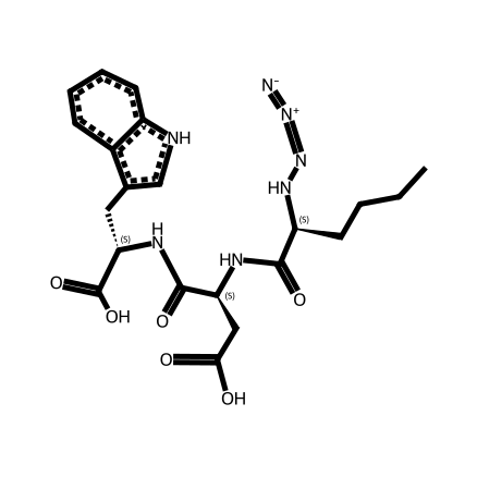 CCCC[C@H](NN=[N+]=[N-])C(=O)N[C@@H](CC(=O)O)C(=O)N[C@@H](Cc1c[nH]c2ccccc12)C(=O)O